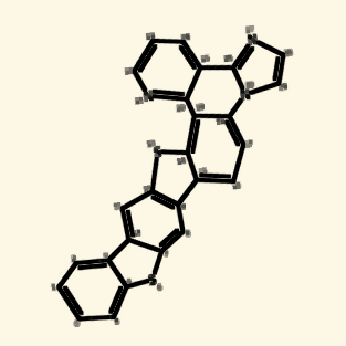 c1ccc2c(c1)sc1cc3c(cc12)sc1c3ccc2c1c1ncccc1c1nccn21